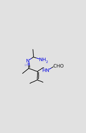 CC(C)=C(CNC=O)/C(C)=N\C(C)N